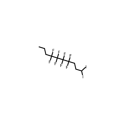 CCCC(F)(F)C(F)(F)C(F)(F)C(F)(F)CCC(I)I